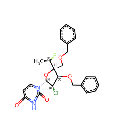 C[C@@H](F)[C@]1(COCc2ccccc2)O[C@@H](n2ccc(=O)[nH]c2=O)[C@H](Cl)[C@@H]1OCc1ccccc1